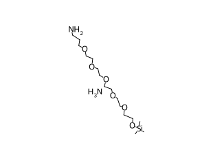 C[Si](C)(C)OCCOCCOCCOCCOCCOCCCN.N